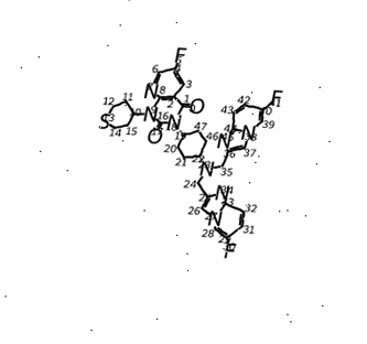 O=c1c2cc(F)cnc2n(C2CCSCC2)c(=O)n1[C@H]1CC[C@@H](N(Cc2cn3cc(F)ccc3n2)Cc2cn3cc(F)ccc3n2)CC1